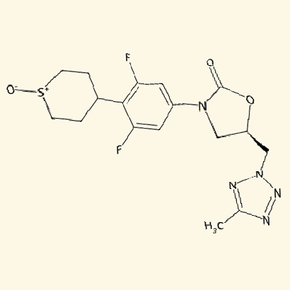 Cc1nnn(C[C@H]2CN(c3cc(F)c(C4CC[S+]([O-])CC4)c(F)c3)C(=O)O2)n1